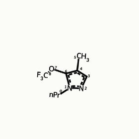 CCCn1n[c]c(C)c1OC(F)(F)F